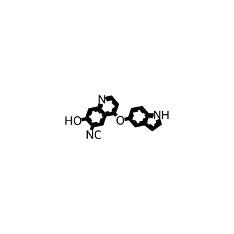 [C-]#[N+]c1cc2c(Oc3ccc4[nH]ccc4c3)ccnc2cc1O